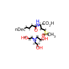 CCCCCCCCCCCCCC(=O)N[C@@H](CC[S+](C)[O-])C(=O)O.OCCN(CCO)CCO